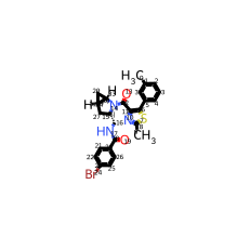 Cc1cccc(-c2sc(C)nc2C(=O)N2[C@H](CNC(=O)c3ccc(Br)cc3)C[C@@H]3C[C@@H]32)c1